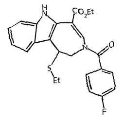 CCOC(=O)C1=CN(C(=O)c2ccc(F)cc2)CC(SCC)c2c1[nH]c1ccccc21